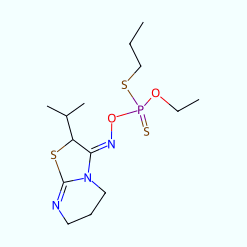 CCCSP(=S)(OCC)ON=C1C(C(C)C)SC2=NCCCN21